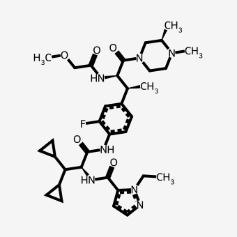 CCn1nccc1C(=O)N[C@H](C(=O)Nc1ccc([C@H](C)[C@@H](NC(=O)COC)C(=O)N2CCN(C)[C@H](C)C2)cc1F)C(C1CC1)C1CC1